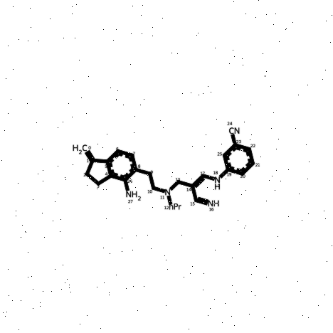 C=C1CCc2c1ccc(CCN(CCC)C/C(C=N)=C/Nc1cccc(C#N)c1)c2N